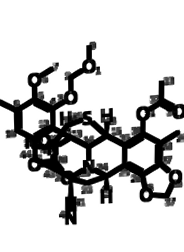 COCOc1c(OC)c(C)cc2c1[C@H]1C3[C@@H]4SCC(O)C(=O)OC[C@@H](c5c6c(c(C)c(OC(C)=O)c54)OCO6)N3[C@@H](C#N)C(C2)N1C